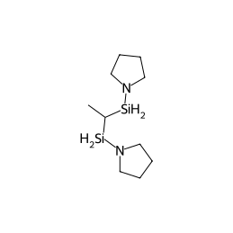 CC([SiH2]N1CCCC1)[SiH2]N1CCCC1